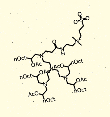 CCCCCCCCC(CN(CCC(=O)NCC[N+](C)(C)CCCS(=O)(=O)[O-])CCN(CCN(CC(CCCCCCCC)OC(C)=O)CC(CCCCCCCC)OC(C)=O)CCN(CC(CCCCCCCC)OC(C)=O)CC(CCCCCCCC)OC(C)=O)OC(C)=O